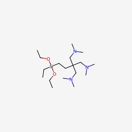 CCO[Si](CC)(CCC(CN(C)C)(CN(C)C)CN(C)C)OCC